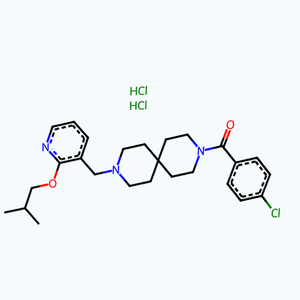 CC(C)COc1ncccc1CN1CCC2(CC1)CCN(C(=O)c1ccc(Cl)cc1)CC2.Cl.Cl